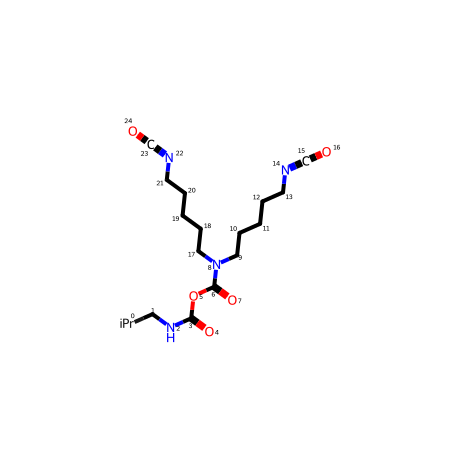 CC(C)CNC(=O)OC(=O)N(CCCCCN=C=O)CCCCCN=C=O